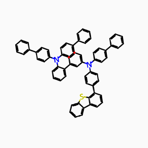 c1ccc(-c2ccc(N(c3ccc(-c4cccc5c4sc4ccccc45)cc3)c3cccc(-c4ccccc4N(c4ccc(-c5ccccc5)cc4)c4ccc(-c5ccccc5)cc4)c3)cc2)cc1